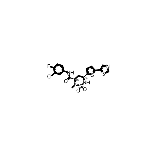 CN1[C@@H](C(=O)Nc2ccc(F)c(Cl)c2)C[C@@H](c2ccc(-c3cncs3)s2)NS1(=O)=O